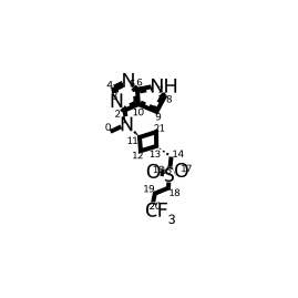 CN(c1ncnc2[nH]ccc12)[C@H]1C[C@@H](CS(=O)(=O)CCC(F)(F)F)C1